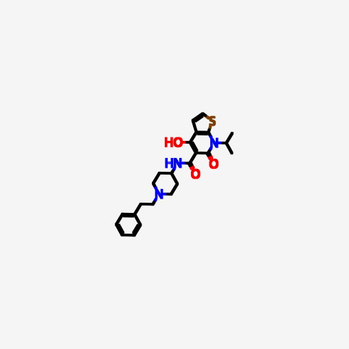 CC(C)n1c(=O)c(C(=O)NC2CCN(CCc3ccccc3)CC2)c(O)c2ccsc21